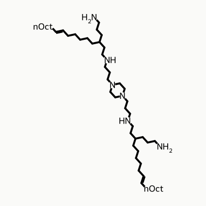 CCCCCCCCC=CCCCCCC(CCCN)CCNCCCN1CCN(CCCNCCC(CCCN)CCCCCC=CCCCCCCCC)CC1